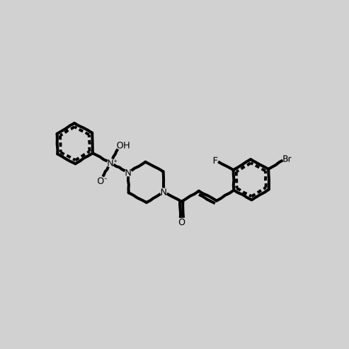 O=C(/C=C/c1ccc(Br)cc1F)N1CCN([N+]([O-])(O)c2ccccc2)CC1